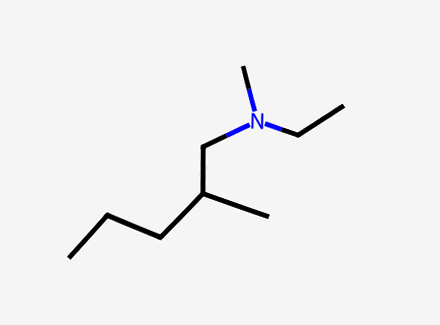 CCCC(C)CN(C)CC